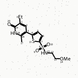 CCc1cc(-c2ccc(S(=O)(=O)NCCOC)s2)c(C)[nH]c1=O